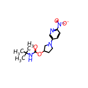 CC(C)(C)NC(=O)OC1CCN(c2ccc([N+](=O)[O-])nc2)C1